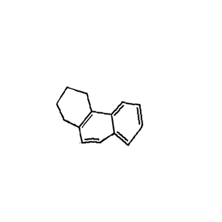 [c]1cc2ccccc2c2c1CCCC2